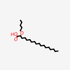 CCCCCCCCCCCCCCCCC(OCCCCC)C(=O)O